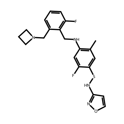 Cc1cc(SNc2ccon2)c(F)cc1NCc1c(F)cccc1CN1CCC1